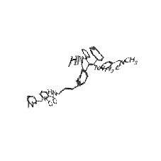 CN(C)Cc1ccc(NC(=C2C(=O)Nc3cc(C=CCNC(=O)c4cccn(Cc5cccnc5)c4=O)ccc32)c2ccccc2)cc1